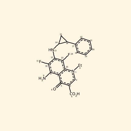 CCn1cc(C(=O)O)c(=O)c2c(N)c(F)c(NC3CC3c3ccccc3)c(F)c21